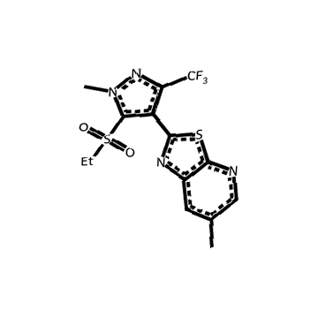 CCS(=O)(=O)c1c(-c2nc3cc(C)cnc3s2)c(C(F)(F)F)nn1C